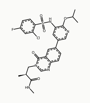 CNC(=O)[C@@H](C)Cn1cnc2ccc(-c3cnc(OC(C)C)c(NS(=O)(=O)c4ccc(F)cc4Cl)c3)cc2c1=O